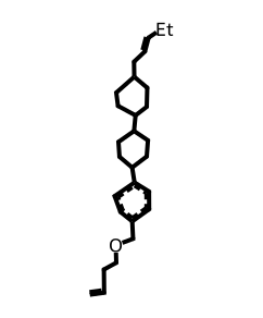 C=CCCOCc1ccc(C2CCC(C3CCC(C/C=C/CC)CC3)CC2)cc1